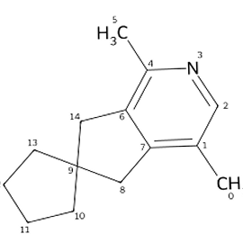 Cc1cnc(C)c2c1CC1(CCCC1)C2